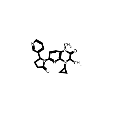 CC1C(=O)N(C)c2ccc(N3C(=O)CCC3c3cccnc3)nc2N1C1CC1